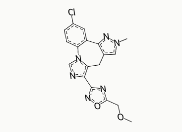 COCc1nc(-c2ncn3c2Cc2cn(C)nc2-c2cc(Cl)ccc2-3)no1